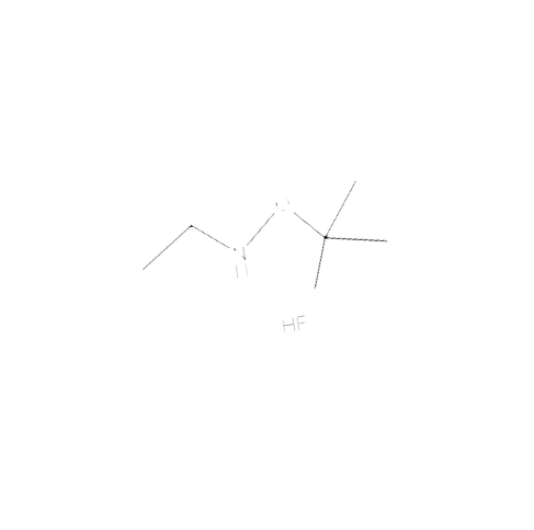 CCNOC(C)(C)C.F